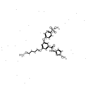 COCCCCOc1cc(Oc2ccc(S(C)(=O)=O)nc2)cc(C(=O)Nc2ccn(C)n2)c1